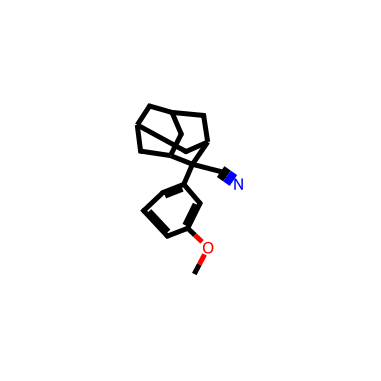 COc1cccc(C2(C#N)C3CC4CC(C3)CC2C4)c1